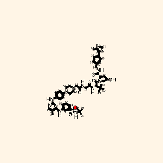 Cc1cnc(Nc2ccc(N3CCN(CC(=O)NCC(=O)N[C@H](C(=O)N4C[C@H](O)C[C@H]4C(=O)NCc4ccc(-c5scnc5C)cc4)C(C)(C)C)CC3)cc2)nc1Nc1cccc(S(=O)(=O)NC(C)(C)C)c1